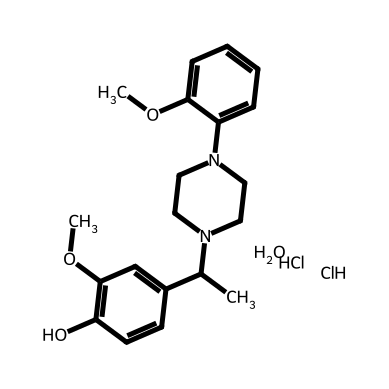 COc1cc(C(C)N2CCN(c3ccccc3OC)CC2)ccc1O.Cl.Cl.O